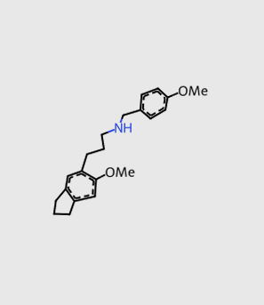 COc1ccc(CNCCCc2cc3c(cc2OC)CCC3)cc1